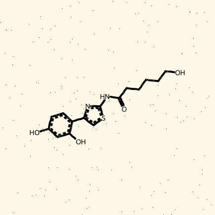 O=C(CCCCCO)Nc1nc(-c2ccc(O)cc2O)cs1